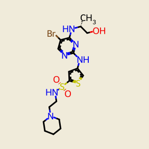 C[C@H](CO)Nc1nc(Nc2csc(S(=O)(=O)NCCN3CCCCC3)c2)ncc1Br